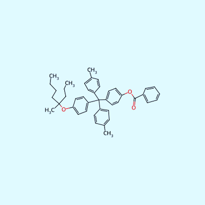 CCCCC(C)(CCC)Oc1ccc(C(c2ccc(C)cc2)(c2ccc(C)cc2)c2ccc(OC(=O)c3ccccc3)cc2)cc1